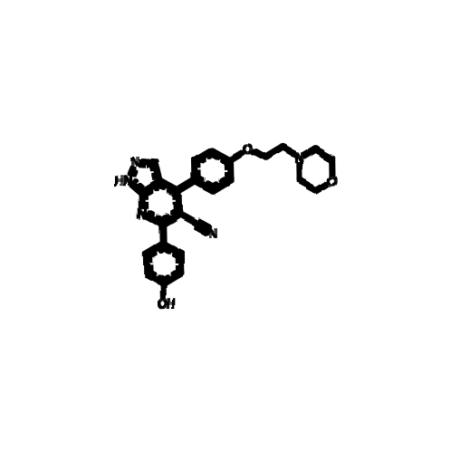 N#Cc1c(-c2ccc(O)cc2)nc2[nH]ncc2c1-c1ccc(OCCN2CCOCC2)cc1